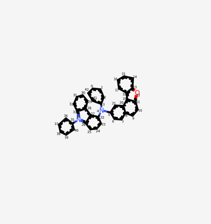 c1ccc(N(c2ccc3ccc4oc5ccccc5c4c3c2)c2cccc3c2c2ccccc2n3-c2ccccc2)cc1